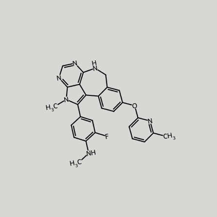 CNc1ccc(-c2c3c4c(ncnc4n2C)NCc2cc(Oc4cccc(C)n4)ccc2-3)cc1F